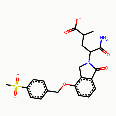 CC(CC(C(N)=O)N1Cc2c(OCc3ccc(S(C)(=O)=O)cc3)cccc2C1=O)C(=O)O